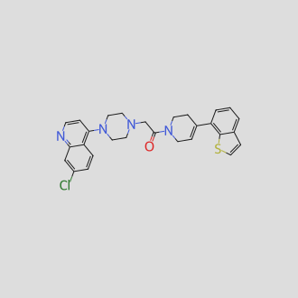 O=C(CN1CCN(c2ccnc3cc(Cl)ccc23)CC1)N1CC=C(c2cccc3ccsc23)CC1